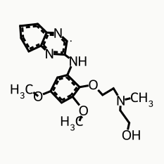 COc1cc(Nc2[c]nc3ccccc3n2)c(OCCN(C)CCO)c(OC)c1